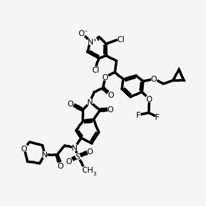 CS(=O)(=O)N(CC(=O)N1CCOCC1)c1ccc2c(c1)C(=O)N(CC(=O)OC(Cc1c(Cl)c[n+]([O-])cc1Cl)c1ccc(OC(F)F)c(OCC3CC3)c1)C2=O